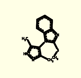 CSc1nc2ccccc2n1-c1c(C)n[nH]c1C